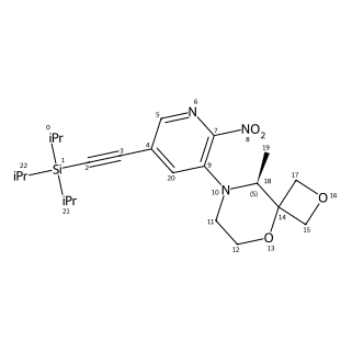 CC(C)[Si](C#Cc1cnc([N+](=O)[O-])c(N2CCOC3(COC3)[C@@H]2C)c1)(C(C)C)C(C)C